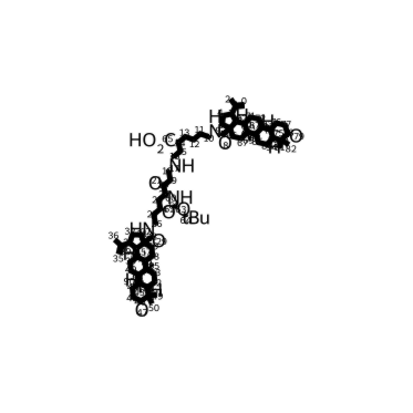 C=C(C)C1CCC2(C(=O)NCCCCC(CCNCCC(=O)C(CCCCNC(=O)C34CCC(C(=C)C)C3[C@H]3CC[C@@H]5[C@@]6(C)CCC(=O)C(C)(C)[C@@H]6CC[C@@]5(C)[C@]3(C)CC4)NC(=O)OC(C)(C)C)C(=O)O)CC[C@]3(C)[C@H](CC[C@@H]4[C@@]5(C)CCC(=O)C(C)(C)[C@@H]5CC[C@]43C)C12